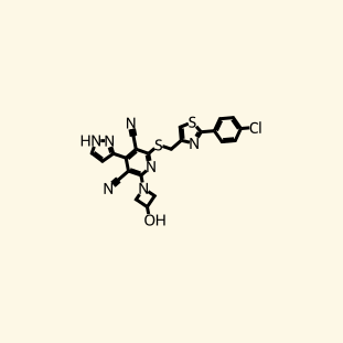 N#Cc1c(SCc2csc(-c3ccc(Cl)cc3)n2)nc(N2CC(O)C2)c(C#N)c1-c1cc[nH]n1